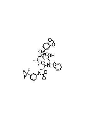 CC[C@H](C)CN(C[C@@H](O)[C@H](Cc1ccccc1)NC(=O)[C@@H]1CN(c2cccc(C(F)(F)F)c2)C(=O)O1)S(=O)(=O)c1ccc2c(c1)OCO2